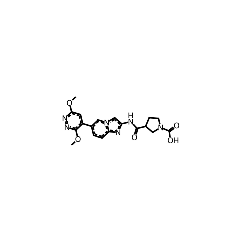 COc1cc(-c2ccc3nc(NC(=O)C4CCN(C(=O)O)C4)cn3c2)c(OC)nn1